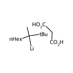 O=C(O)CC(=O)O.[Li][C](C)(CCCCCC)C(C)(C)C